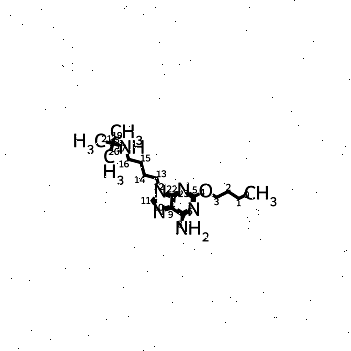 CCCCOc1nc(N)c2ncn(CCCCNC(C)(C)C)c2n1